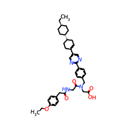 CCOc1ccc(CC(=O)NCC(=O)N(CC(=O)O)Cc2ccc(-c3ncc(C4=CCC([C@H]5CC[C@H](CC)CC5)CC4)cn3)cc2)cc1